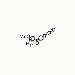 COc1ccc([S+]([O-])N2CCC3(CC2)CC(N2CC4(COC4)C2)C3)c(C)n1